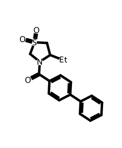 CCC1CS(=O)(=O)CN1C(=O)c1ccc(-c2ccccc2)cc1